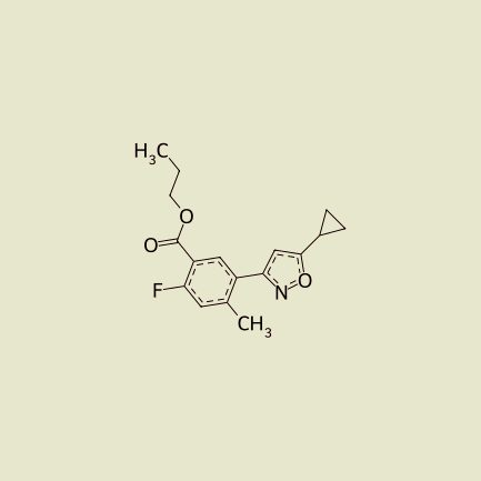 CCCOC(=O)c1cc(-c2cc(C3CC3)on2)c(C)cc1F